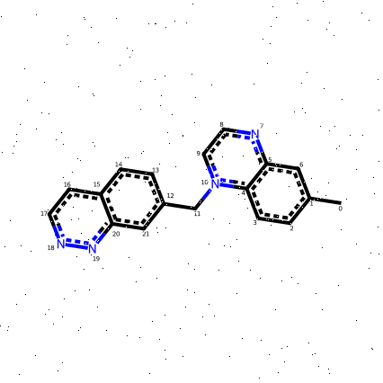 Cc1ccc2c(c1)ncc[n+]2Cc1ccc2ccnnc2c1